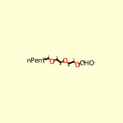 CCCCCCOCCOCCO[C]=O